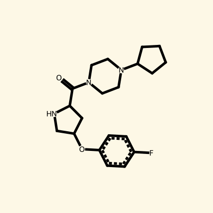 O=C(C1CC(Oc2ccc(F)cc2)CN1)N1CCN(C2CCCC2)CC1